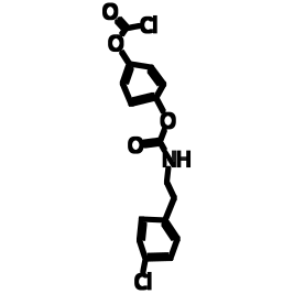 O=C(Cl)Oc1ccc(OC(=O)NCCc2ccc(Cl)cc2)cc1